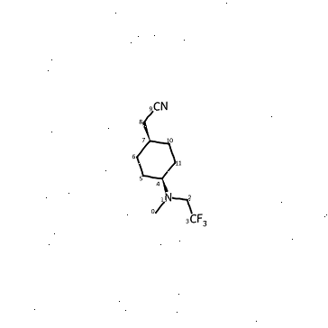 CN(CC(F)(F)F)[C@H]1CC[C@@H](CC#N)CC1